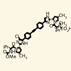 COC(=O)N[C@H](C(=O)N1C[C@@H](C)C[C@H]1c1nc(Cl)c(-c2ccc(C#Cc3ccc(-c4c[nH]c([C@@H]5C[C@H](C)CN5C(=O)[C@H](C(C)C)N(C)C(=O)O)n4)cc3)cc2)[nH]1)C(C)C